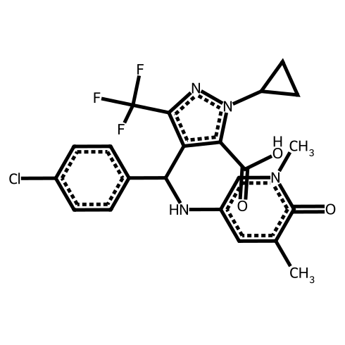 Cc1cc(NC(c2ccc(Cl)cc2)c2c(C(F)(F)F)nn(C3CC3)c2C(=O)O)cn(C)c1=O